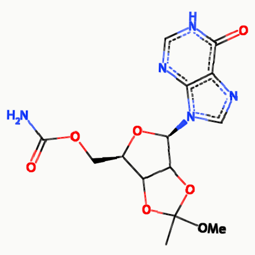 COC1(C)OC2C(O1)[C@@H](COC(N)=O)O[C@H]2n1cnc2c(=O)[nH]cnc21